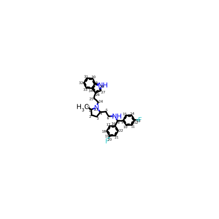 CC1CCC(CCNC(c2ccc(F)cc2)c2ccc(F)cc2)N1CCc1c[nH]c2ccccc12